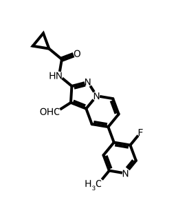 Cc1cc(-c2ccn3nc(NC(=O)C4CC4)c(C=O)c3c2)c(F)cn1